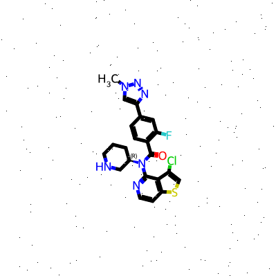 Cn1cc(-c2ccc(C(=O)N(c3nccc4scc(Cl)c34)[C@@H]3CCCNC3)c(F)c2)nn1